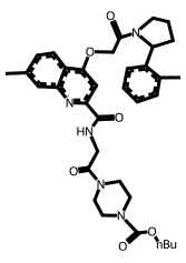 CCCCOC(=O)N1CCN(C(=O)CNC(=O)c2cc(OCC(=O)N3CCCC3c3ccccc3C)c3ccc(C)cc3n2)CC1